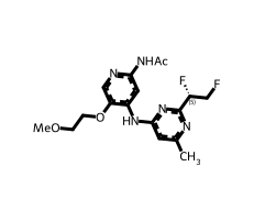 COCCOc1cnc(NC(C)=O)cc1Nc1cc(C)nc([C@H](F)CF)n1